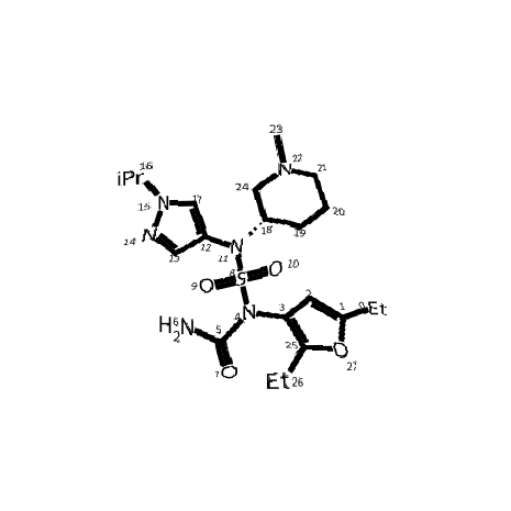 CCc1cc(N(C(N)=O)S(=O)(=O)N(c2cnn(C(C)C)c2)[C@H]2CCCN(C)C2)c(CC)o1